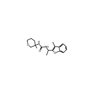 Cc1c(C(C)NC(=O)NC2(C)CCCOC2)oc2ccccc12